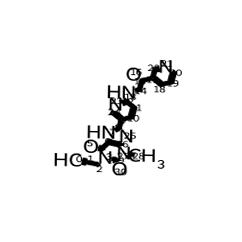 C#CCn1c(=O)c2[nH]c(-c3ccc(NCC(=O)c4cccnc4)nc3)nc2n(C)c1=O